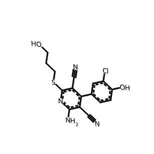 N#Cc1c(N)nc(SCCCO)c(C#N)c1-c1ccc(O)c(Cl)c1